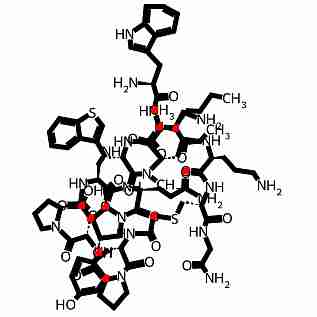 CCCC[C@@H](C(=O)N(C)[C@@H](CCCC)C(=O)N[C@@H](CCCN)C(=O)N[C@@H](CSCC(=O)N[C@@H](Cc1ccc(O)cc1)C(=O)N1CCC[C@H]1C(=O)N[C@@H](CC(=O)O)C(=O)N1CCC[C@H]1C(=O)N[C@@H](CN)C(=O)N[C@@H](CCC(N)=O)C(=O)N1C[C@H](O)C[C@H]1C=O)C(=O)NCC(N)=O)N(C)C(=O)[C@H](Cc1csc2ccccc12)NC(=O)[C@H](CCN)NC(=O)[C@@H](N)Cc1c[nH]c2ccccc12